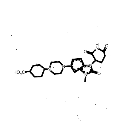 Cn1c(=O)n(C2CCC(=O)NC2=O)c2ccc(N3CCN(C4CCC(C(=O)O)CC4)CC3)cc21